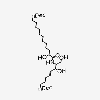 CCCCCCCCCCCCCC=CC(O)C(CO)NC(=O)C(O)CCCCCCCCCCCCCCCCCCCC